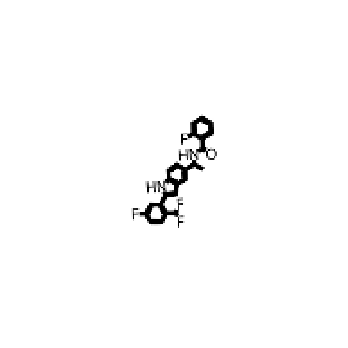 CC(NC(=O)c1ccccc1F)c1ccc2[nH]c(-c3cc(F)ccc3C(F)F)cc2c1